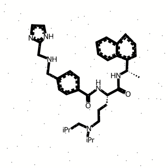 CC(C)CN(CCC[C@H](NC(=O)c1ccc(CNCc2ncc[nH]2)cc1)C(=O)N[C@@H](C)c1cccc2ccccc12)C(C)C